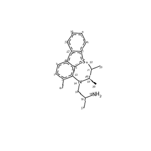 Cc1ccc2c(sc3ccccc32)c1N(CC(C)N)[C@H](C)C(C)C